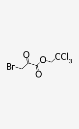 O=C(CBr)C(=O)OCC(Cl)(Cl)Cl